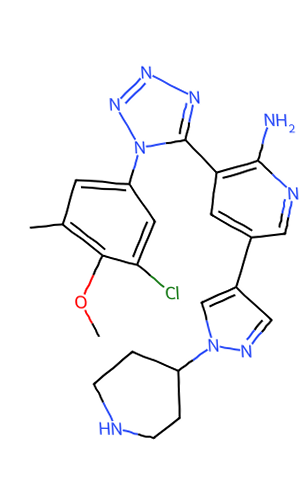 COc1c(C)cc(-n2nnnc2-c2cc(-c3cnn(C4CCNCC4)c3)cnc2N)cc1Cl